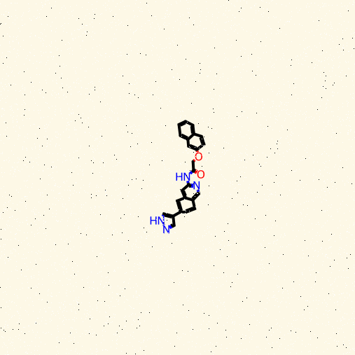 O=C(COc1ccc2ccccc2c1)Nc1cc2cc(-c3cn[nH]c3)ccc2cn1